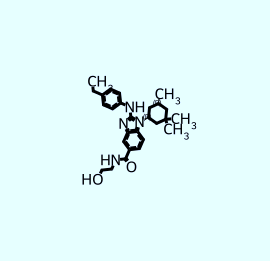 CCc1ccc(Nc2nc3cc(C(=O)NCCO)ccc3n2[C@@H]2C[C@H](C)CC(C)(C)C2)cc1